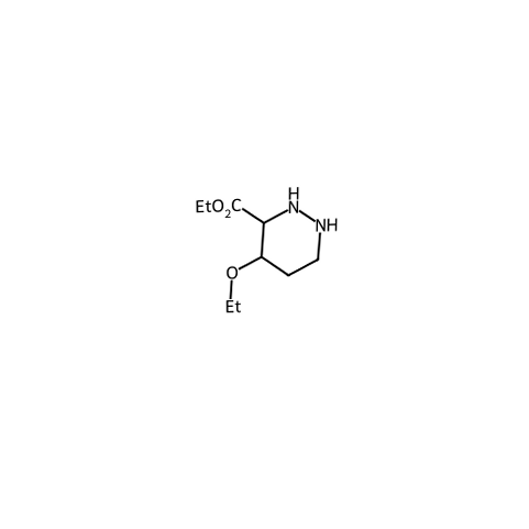 CCOC(=O)C1NNCCC1OCC